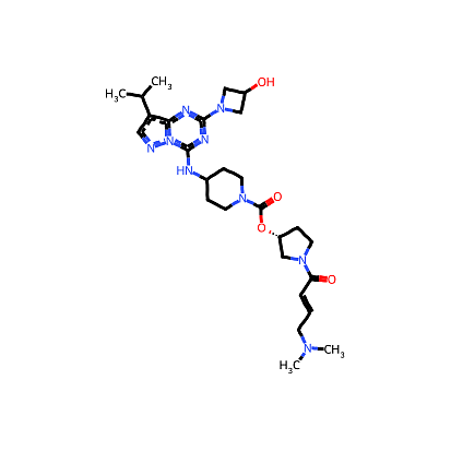 CC(C)c1cnn2c(NC3CCN(C(=O)O[C@@H]4CCN(C(=O)/C=C/CN(C)C)C4)CC3)nc(N3CC(O)C3)nc12